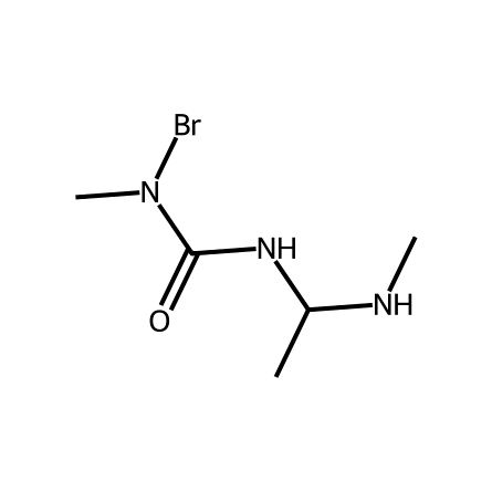 CNC(C)NC(=O)N(C)Br